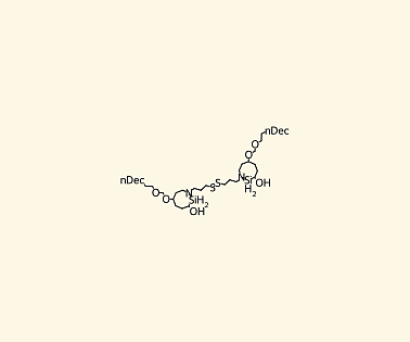 CCCCCCCCCCCCOCOC1CCC(O)[SiH2]N(CCCSSCCCN2CCC(OCOCCCCCCCCCCCC)CCC(O)[SiH2]2)CC1